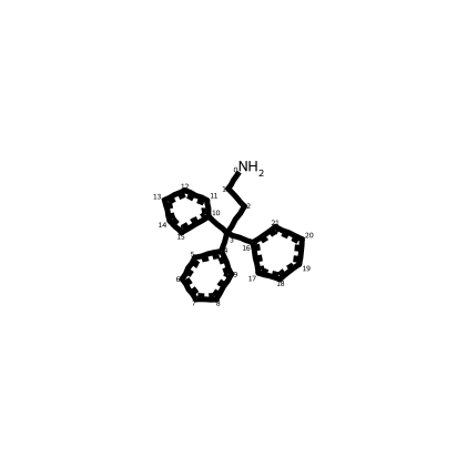 NCCC(c1ccccc1)(c1ccccc1)c1ccccc1